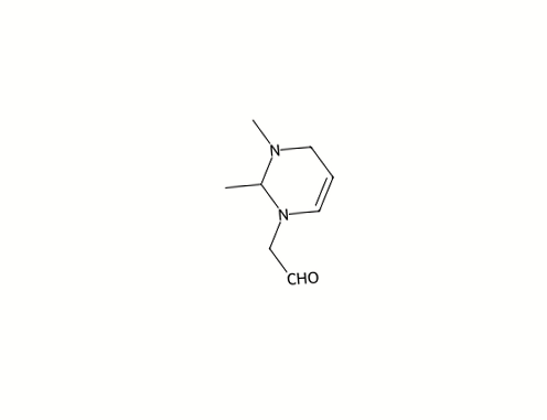 CC1N(C)CC=CN1CC=O